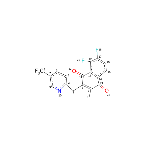 CC1=C(Cc2ccc(C(F)(F)F)cn2)C(=O)c2c(ccc(F)c2F)C1=O